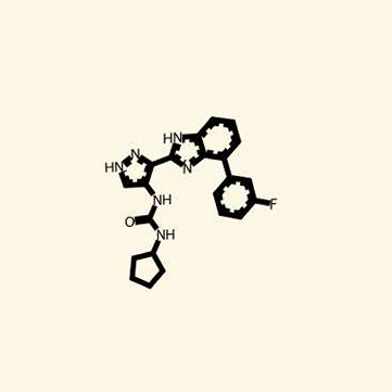 O=C(Nc1c[nH]nc1-c1nc2c(-c3cccc(F)c3)cccc2[nH]1)NC1CCCC1